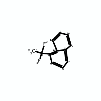 FC(F)(F)C(F)(F)c1[c]ccc2ccccc12